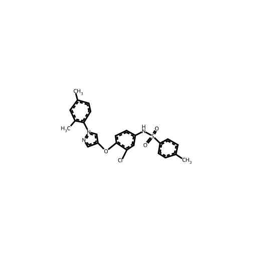 Cc1ccc(S(=O)(=O)Nc2ccc(Oc3cnn(-c4ccc(C)cc4C)c3)c(Cl)c2)cc1